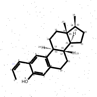 C/C=C\c1cc2c(cc1O)CC[C@@H]1[C@@H]2CC[C@]2(C)[C@@H](C)CC[C@@H]12